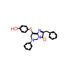 O=C1C(Cc2ccccc2)=NC2=C(Sc3ccc(O)cc3)CN(c3ccccc3)CN12